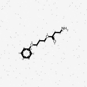 NCCC(=O)OCCCOc1ccccc1